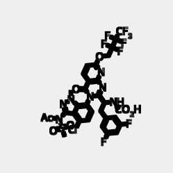 CC(=O)N(c1nn(C)c2c(-n3c(C(Cc4cc(F)cc(F)c4)NC(=O)O)nc4nc(OCC(F)(F)C(F)(F)C(F)(F)F)ccc4c3=O)ccc(Cl)c12)S(C)(=O)=O